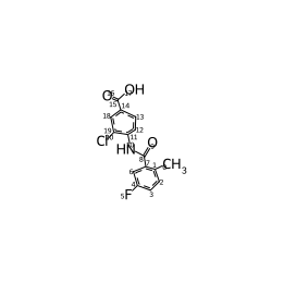 Cc1ccc(F)cc1C(=O)Nc1ccc(C(=O)O)cc1Cl